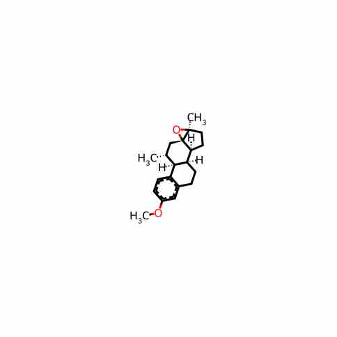 COc1ccc2c(c1)CC[C@H]1[C@@H]2[C@H](C)C[C@@]23O[C@@]2(C)CC[C@@H]13